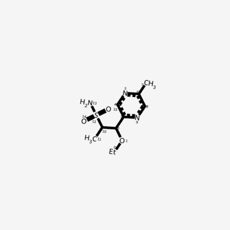 CCOC(c1cnc(C)cn1)C(C)S(N)(=O)=O